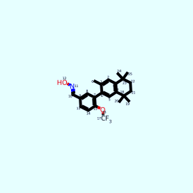 Cc1cc2c(cc1-c1cc(C=NO)ccc1OC(F)(F)F)C(C)(C)CCC2(C)C